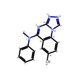 CN(c1ccccc1)c1nc2nncn2c2ccc(C#N)cc12